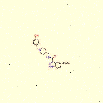 COc1ccc2[nH]nc(C(=O)NCC3CCN(Cc4ccc(O)cc4)CC3)c2c1